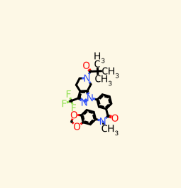 CN(C(=O)c1cccc(-n2nc(C(F)(F)F)c3c2CN(C(=O)C(C)(C)C)CC3)c1)c1ccc2c(c1)OCO2